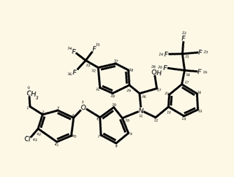 CCc1cc(Oc2cccc(N(Cc3cccc(C(F)(F)C(F)(F)F)c3)C(CO)c3ccc(C(F)(F)F)cc3)c2)ccc1Cl